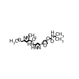 COCc1cc(C(=O)Nc2cc([C@@H]3C[C@H](OC(=O)NC(C)C)CO3)n[nH]2)n(C)n1